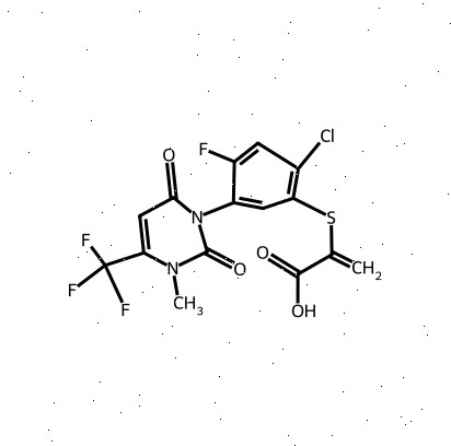 C=C(Sc1cc(-n2c(=O)cc(C(F)(F)F)n(C)c2=O)c(F)cc1Cl)C(=O)O